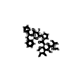 CCC(C)[C@@H]([C@@H](CC(=O)N1CCC[C@H]1[C@H](OC)[C@@H](C)C(=O)N[C@@H](Cc1ccccc1)c1nccs1)OC)N(C)C(=O)[C@@H](NC)C(C)C